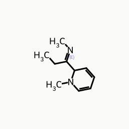 CC/C(=N\C)C1C=CC=CN1C